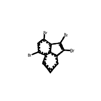 BrC1=C(Br)c2c(Br)cc(Br)c3cccc1c23